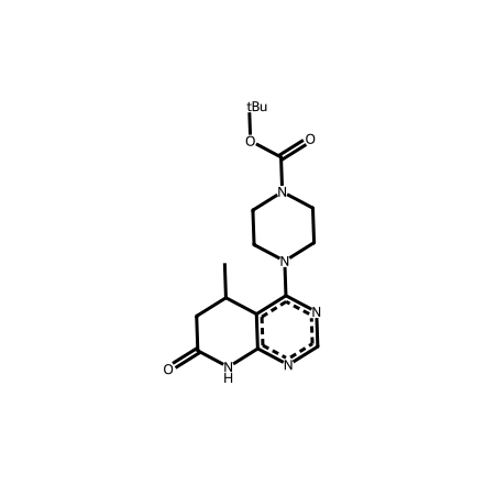 CC1CC(=O)Nc2ncnc(N3CCN(C(=O)OC(C)(C)C)CC3)c21